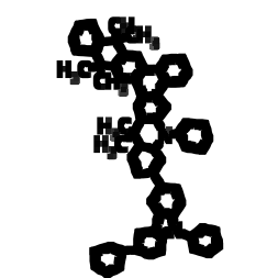 CC1(C)c2ccccc2C(C)(C)c2cc3c(cc21)c1ccccc1c1cc2c(cc13)C(C)(C)C1C=CC(c3ccc4c(c3)c3cc(-c5ccccc5)ccc3n4-c3ccccc3)=CC1N2c1ccccc1